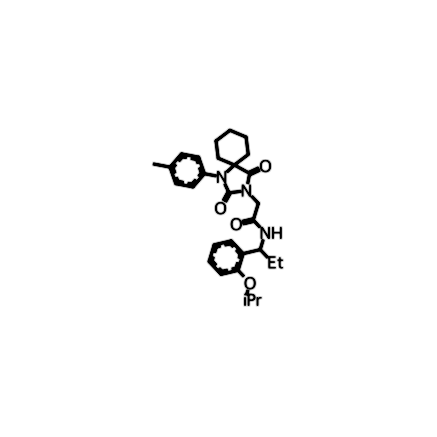 CCC(NC(=O)CN1C(=O)N(c2ccc(C)cc2)C2(CCCCC2)C1=O)c1ccccc1OC(C)C